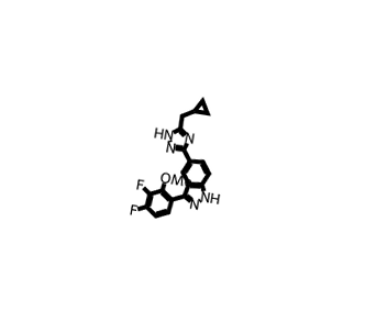 COc1c(-c2n[nH]c3ccc(-c4n[nH]c(CC5CC5)n4)cc23)ccc(F)c1F